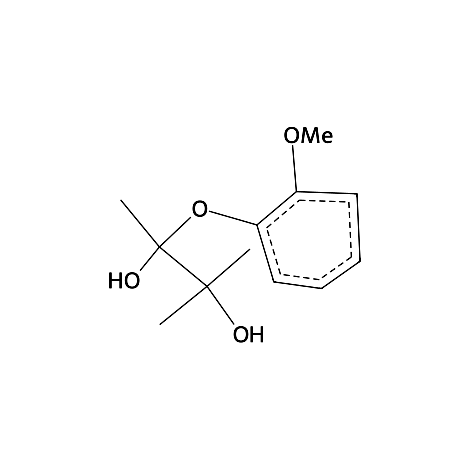 COc1ccccc1OC(C)(O)C(C)(C)O